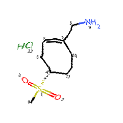 CS(=O)(=O)[C@@H]1CC=C(CN)CC1.Cl